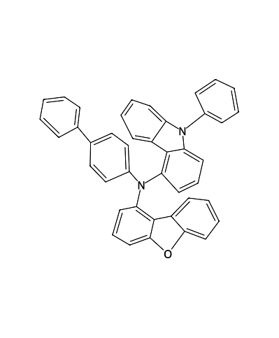 c1ccc(-c2ccc(N(c3cccc4oc5ccccc5c34)c3cccc4c3c3ccccc3n4-c3ccccc3)cc2)cc1